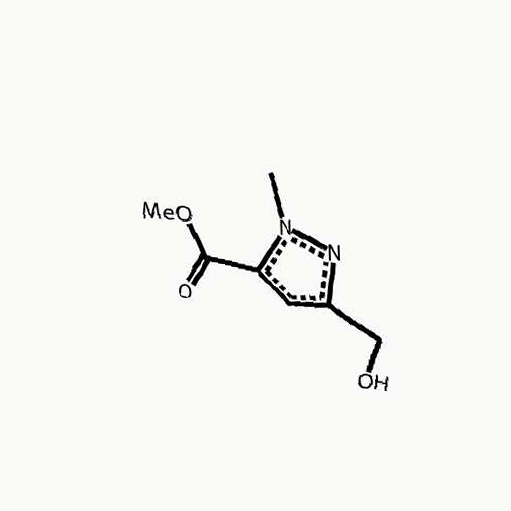 COC(=O)c1cc(CO)nn1C